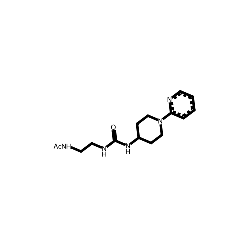 CC(=O)NCCNC(=O)NC1CCN(c2ccccn2)CC1